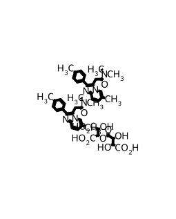 Cc1ccc(-c2nc3ccc(C)cn3c2CC(=O)N(C)C)cc1.Cc1ccc(-c2nc3ccc(C)cn3c2CC(=O)N(C)C)cc1.O=C(O)C(O)C(O)C(=O)OC(C(=O)O)C(O)C(=O)O